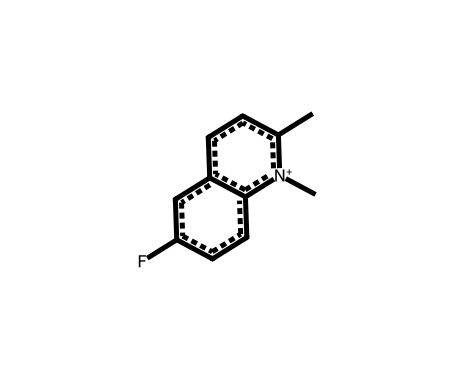 Cc1ccc2cc(F)ccc2[n+]1C